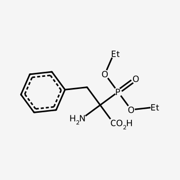 CCOP(=O)(OCC)C(N)(Cc1ccccc1)C(=O)O